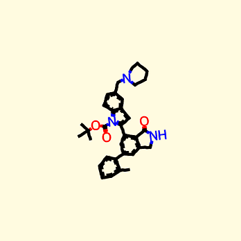 Cc1ccccc1-c1cc2c(c(-c3cc4cc(CN5CCCCC5)ccc4n3C(=O)OC(C)(C)C)c1)C(=O)NC2